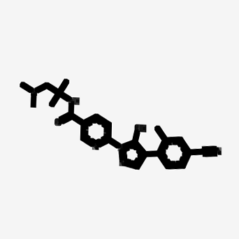 Cc1cc(C#N)ccc1-c1cnn(-c2ccc(C(=O)NC(C)(C)CN(C)C)cn2)c1O